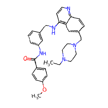 CCN1CCN(Cc2ccc3nccc(NCc4cccc(NC(=O)c5ccc(OC)cc5)c4)c3c2)CC1